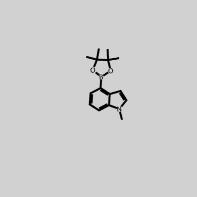 Cn1ccc2c(B3OC(C)(C)C(C)(C)O3)cccc21